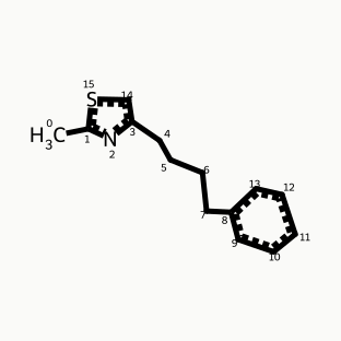 Cc1nc(CCCCc2ccccc2)cs1